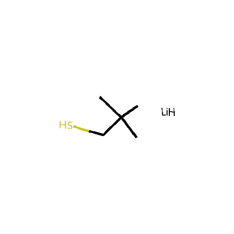 CC(C)(C)CS.[LiH]